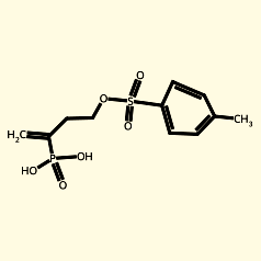 C=C(CCOS(=O)(=O)c1ccc(C)cc1)P(=O)(O)O